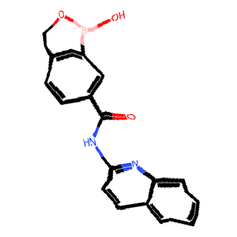 O=C(Nc1ccc2ccccc2n1)c1ccc2c(c1)B(O)OC2